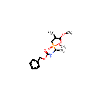 COC(=O)C(C)CP(=O)(OC)C(C)NC(=O)OCc1ccccc1